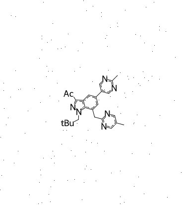 CC(=O)c1nn(CC(C)(C)C)c2c(Cc3ncc(C)cn3)cc(-c3cnc(C)nc3)cc12